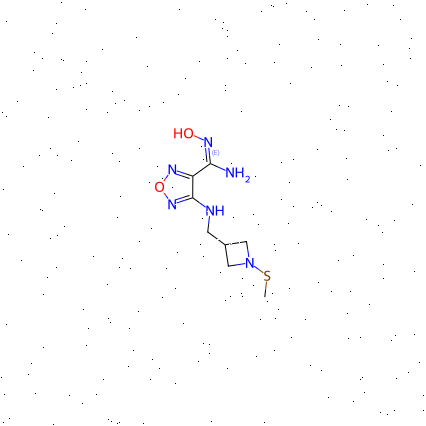 CSN1CC(CNc2nonc2/C(N)=N\O)C1